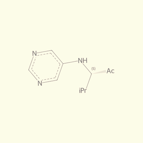 CC(=O)[C@@H](Nc1cncnc1)C(C)C